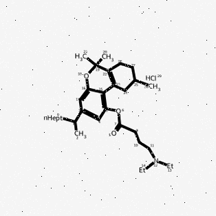 CCCCCCCC(C)c1cc(OC(=O)CCCN(CC)CC)c2c(c1)OC(C)(C)C1=C2CC(C)CC1.Cl